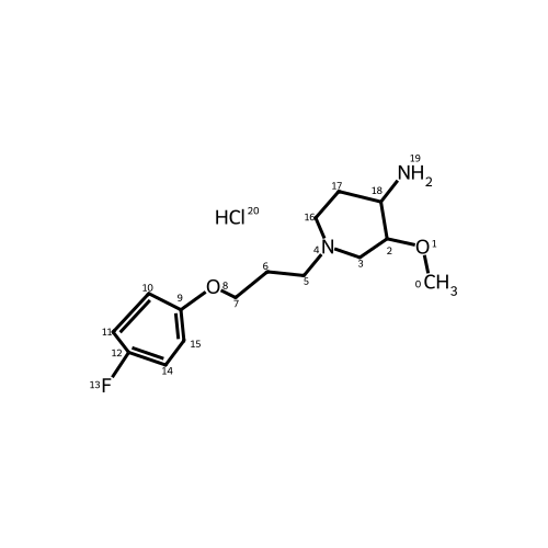 COC1CN(CCCOc2ccc(F)cc2)CCC1N.Cl